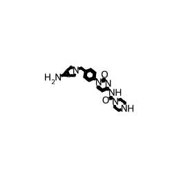 NC1C2CN(Cc3ccc(-n4ccc(NC(=O)N5CCNCC5)nc4=O)cc3)CC12